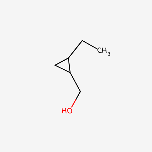 CC[C]1CC1CO